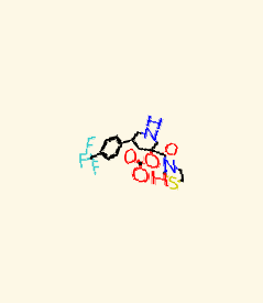 O=C(O)OC1(C(=O)N2CCSC2)CNCC(c2ccc(C(F)(F)F)cc2)C1